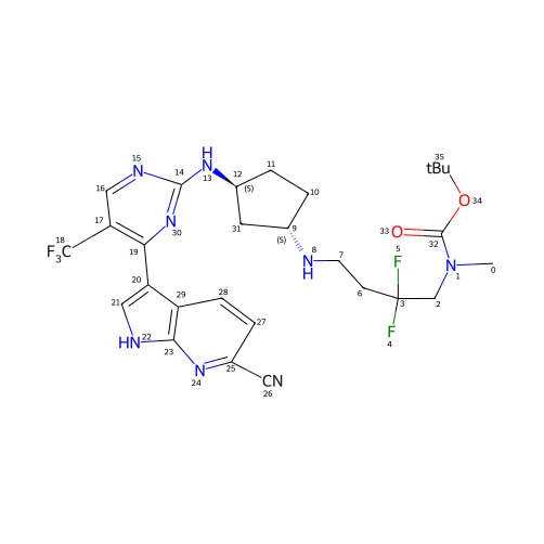 CN(CC(F)(F)CCN[C@H]1CC[C@H](Nc2ncc(C(F)(F)F)c(-c3c[nH]c4nc(C#N)ccc34)n2)C1)C(=O)OC(C)(C)C